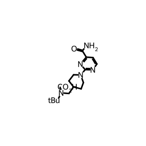 CC(C)(C)N(CC1CCN(c2nccc(C(N)=O)n2)CC1)C(=O)O